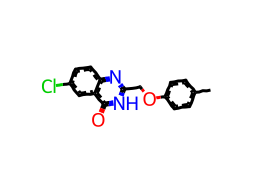 Cc1ccc(OCc2nc3ccc(Cl)cc3c(=O)[nH]2)cc1